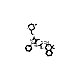 Cc1c(OCC2CN(C)CCO2)nn(-c2ccccc2)c1NC(=O)N[C@H]1c2ccccc2C(C)(C)C[C@@H]1O